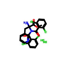 COC(=O)C(N)(Cc1cccnc1)N(C(=O)c1c(Cl)cccc1Cl)C(=O)c1c(Cl)cccc1Cl.Cl.Cl